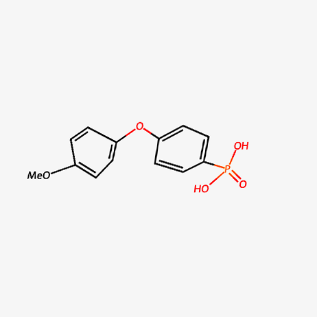 COc1ccc(Oc2ccc(P(=O)(O)O)cc2)cc1